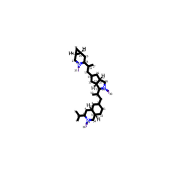 CC(C)C1C[C@@H]2CC(CC(C)C3[C@@H]4CC(CC(C)C5C[C@@H]6C[C@@H]6CN5I)C[C@@H]4CN3I)CC[C@@H]2CN1I